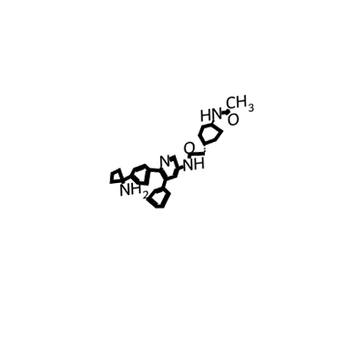 CC(=O)N[C@H]1CC[C@H](CC(=O)Nc2cnc(-c3ccc(C4(N)CCC4)cc3)c(-c3ccccc3)c2)CC1